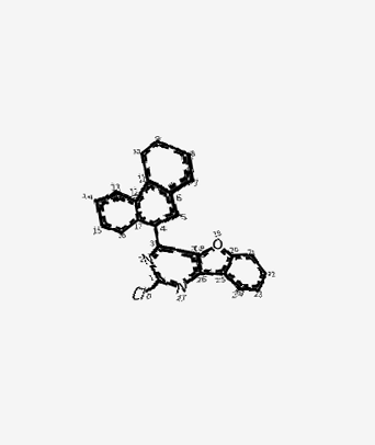 Clc1nc(-c2cc3ccccc3c3ccccc23)c2oc3ccccc3c2n1